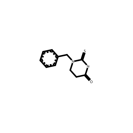 O=C1CCN(Cc2ccccc2)C(=S)[N]1